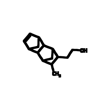 CC1C(CCO)C2CC1C1C3C=CC(C3)C21